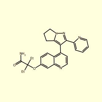 CCC(CC)(Oc1ccc2c(-c3c(-c4ccccn4)nn4c3CCC4)ccnc2c1)C(N)=O